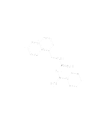 N=C(NCc1cccc2ccccc12)NC(=N)N1CCCCC1